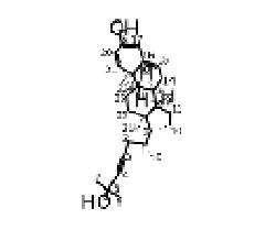 C[C@H](CC#CC(C)(C)O)[C@H]1CC[C@H]2[C@@H]3CC=C4C=C(O)C=C[C@]4(C)[C@H]3CC[C@]12C